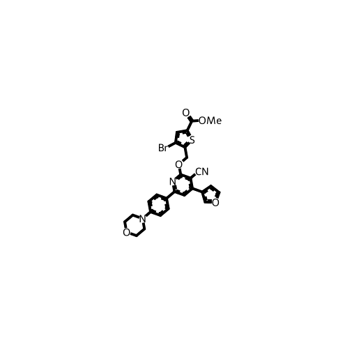 COC(=O)c1cc(Br)c(COc2nc(-c3ccc(N4CCOCC4)cc3)cc(-c3ccoc3)c2C#N)s1